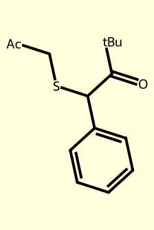 CC(=O)CSC(C(=O)C(C)(C)C)c1ccccc1